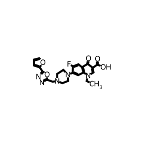 CCn1cc(C(=O)O)c(=O)c2cc(F)c(N3CCN(Cc4nnc(-c5ccco5)o4)CC3)cc21